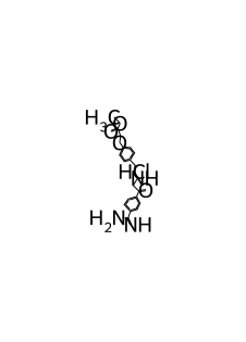 COC(=O)COc1ccc(CCNCC(=O)c2ccc(C(=N)N)cc2)cc1.Cl